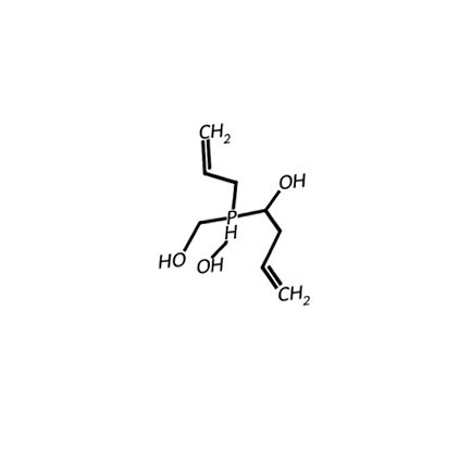 C=CCC(O)[PH](CO)(CO)CC=C